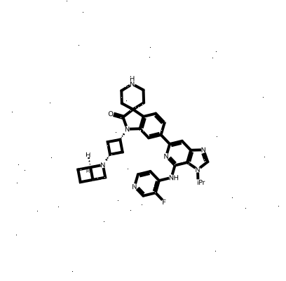 CC(C)n1cnc2cc(-c3ccc4c(c3)N([C@H]3C[C@@H](N5CC6CC[C@H]65)C3)C(=O)C43CCNCC3)nc(Nc3ccncc3F)c21